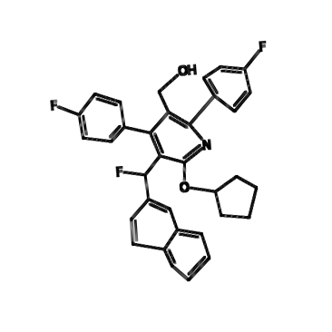 OCc1c(-c2ccc(F)cc2)nc(OC2CCCC2)c(C(F)c2ccc3ccccc3c2)c1-c1ccc(F)cc1